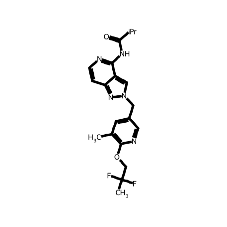 Cc1cc(Cn2cc3c(NC(=O)C(C)C)nccc3n2)cnc1OCC(C)(F)F